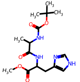 COC(=O)C(Cc1c[nH]cn1)NC(=O)C(C)NC(=O)OC(C)(C)C